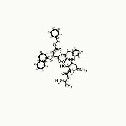 CC(C)CC(NC(=O)[C@H](Cc1c[nH]cn1)NC(=O)[C@H](Cc1cccc2ccccc12)NC(=O)OCc1ccccc1)C(O)CC(=O)NC(C)C